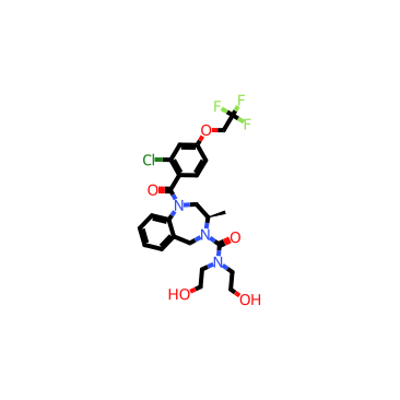 C[C@@H]1CN(C(=O)c2ccc(OCC(F)(F)F)cc2Cl)c2ccccc2CN1C(=O)N(CCO)CCO